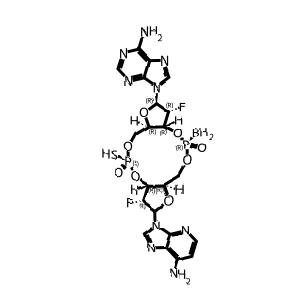 B[P@@]1(=O)OC[C@H]2OC(n3cnc4c(N)ccnc43)[C@H](F)[C@@H]2O[P@@](=O)(S)OC[C@H]2O[C@@H](n3cnc4c(N)ncnc43)[C@H](F)[C@@H]2O1